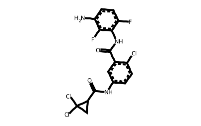 Nc1ccc(F)c(NC(=O)c2cc(NC(=O)C3CC3(Cl)Cl)ccc2Cl)c1F